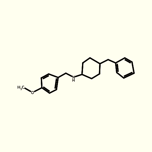 COc1ccc(CNC2CCC(Cc3ccccc3)CC2)cc1